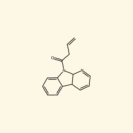 C=CCC(=O)N1c2ccccc2C2C=CC=NC21